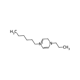 CCCCCC[N+]1=CCN(CCC)C=C1